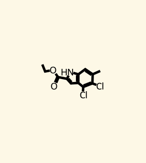 CCOC(=O)c1cc2c(Cl)c(Cl)c(C)cc2[nH]1